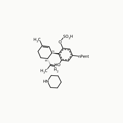 C1CCNCC1.C=C(C)[C@@H]1CCC(C)=C[C@H]1c1c(O)cc(CCCCC)cc1OS(=O)(=O)O